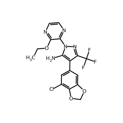 CCOc1nccnc1-n1nc(C(F)(F)F)c(-c2cc(Cl)c3c(c2)OCO3)c1N